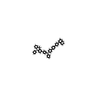 CC1(C)c2ccccc2N(c2ccccc2)c2ccc(-c3ccc(N(c4ccccc4)c4ccc(-c5ccc(-c6ccc(-c7ccnc8ncccc78)cc6)cc5)cc4)cc3)cc21